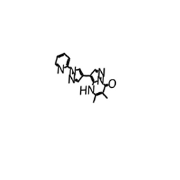 Cc1[nH]c2c(-c3cnn(-c4ccccn4)c3)cnn2c(=O)c1C